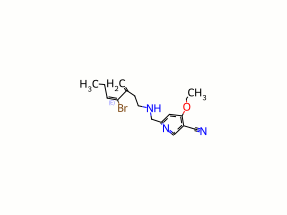 C=C(CCNCc1cc(OCC)c(C#N)cn1)/C(Br)=C\CC